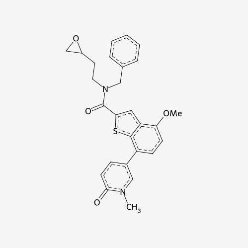 COc1ccc(-c2ccc(=O)n(C)c2)c2sc(C(=O)N(CCC3CO3)Cc3ccccc3)cc12